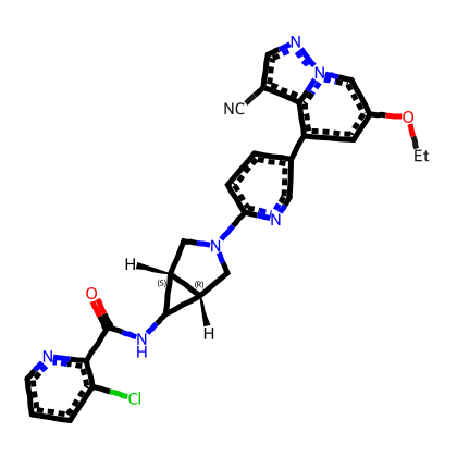 CCOc1cc(-c2ccc(N3C[C@@H]4C(NC(=O)c5ncccc5Cl)[C@@H]4C3)nc2)c2c(C#N)cnn2c1